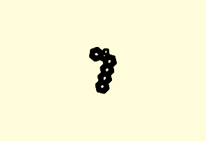 c1ccc2cc3cc4c(ccc5oc6ccccc6c54)cc3cc2c1